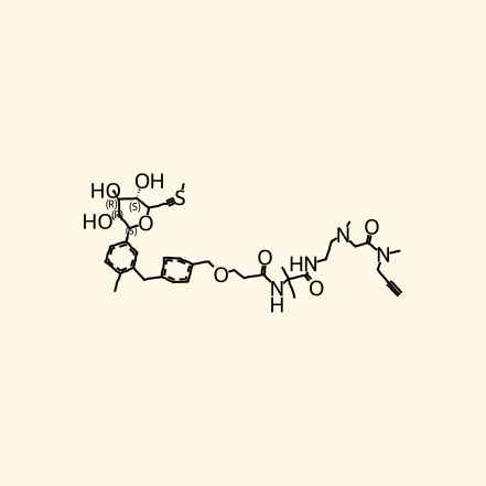 C#CCN(C)C(=O)CN(C)CCNC(=O)C(C)(C)NC(=O)CCOCc1ccc(Cc2cc([C@@H]3OC(C#SC)[C@@H](O)[C@H](O)[C@H]3O)ccc2C)cc1